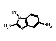 CC(C)n1c(N)nc2cc(N)ccc21